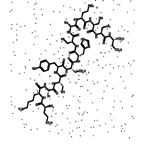 CC[C@H](C)[C@H](NC(=O)[C@H](CS)NC(=O)[C@H](Cc1c[nH]cn1)NC(=O)[C@H](CC(=O)O)NC(=O)[C@H](Cc1ccc(O)cc1)NC(=O)[C@H](CO)NC(=O)[C@@H](NC(=O)[C@H](CCCCN)NC(=O)[C@@H](N)CCC(=O)O)C(C)C)C(=O)N[C@@H](CCSC)C(=O)N[C@@H](CO)C(=O)N[C@@H](CC(C)C)C(=O)N[C@@H](CC(=O)O)C(=O)O